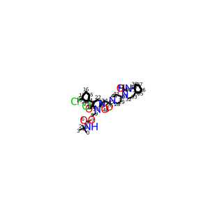 CC(C)(C)NC(=O)OCCn1c(=O)c(-c2cccc(Cl)c2Cl)cn(CC(=O)N2CCC(N3CCc4ccccc4NC3=O)CC2)c1=O